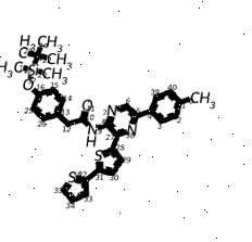 Cc1ccc(-c2cnc(NC(=O)Cc3ccc(O[Si](C)(C)C(C)(C)C)cc3)c(-c3ccc(-c4cccs4)s3)n2)cc1